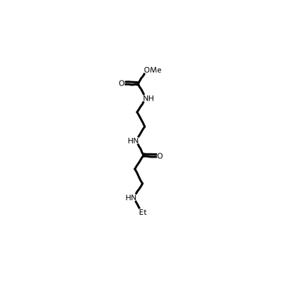 CCNCCC(=O)NCCNC(=O)OC